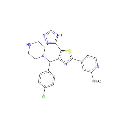 CC(=O)Nc1cc(-c2nc(C(c3ccc(Cl)cc3)N3CCNCC3)c(-c3nnc[nH]3)s2)ccn1